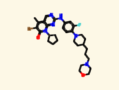 Cc1c(Br)c(=O)n(C2CCCC2)c2nc(Nc3ccc(N4CCC(CCCN5CCOCC5)CC4)c(F)c3)ncc12